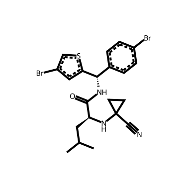 CC(C)C[C@H](NC1(C#N)CC1)C(=O)N[C@@H](c1ccc(Br)cc1)c1cc(Br)cs1